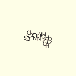 Clc1cc2[nH]c(OC3CO[C@@H]4CCO[C@H]34)nc2nc1-c1ccsc1